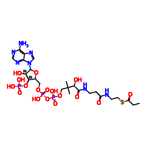 CCC(=O)SCCNC(=O)CCNC(=O)C(O)C(C)(C)COP(=O)(O)OP(=O)(O)OCC1OC(n2cnc3c(N)ncnc32)[C@H](O)[C@@H]1OP(=O)(O)O